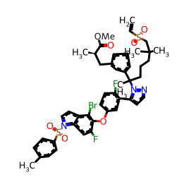 C=CS(=O)(=O)CC(C)(C)CCCC(C)(c1cccc(C[C@@H](C)C(=O)OC)c1)n1nccc1-c1cc(Oc2c(F)cc3c(ccn3S(=O)(=O)c3ccc(C)cc3)c2Br)ccc1F